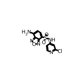 Nc1ccc(S(=O)(=O)Nc2ccnc(Cl)c2)c2nonc12